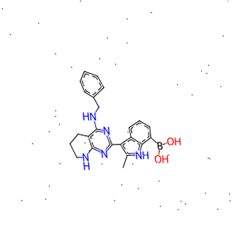 Cc1[nH]c2c(B(O)O)cccc2c1-c1nc2c(c(NCc3ccccc3)n1)CCCN2